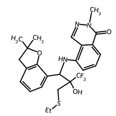 CCSCC(O)(C(Nc1cccc2c(=O)n(C)ncc12)c1cccc2c1OC(C)(C)C2)C(F)(F)F